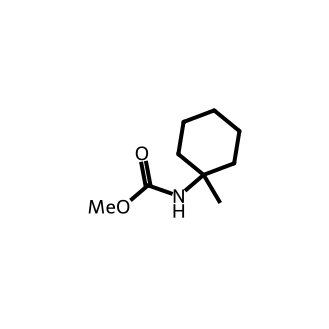 COC(=O)NC1(C)CCCCC1